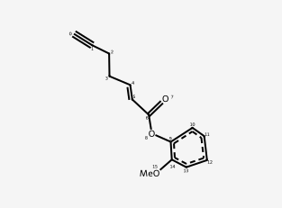 C#CCC/C=C/C(=O)Oc1ccccc1OC